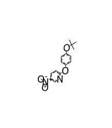 CC(C)(C)Oc1ccc(Oc2ccc([N+](=O)[O-])cn2)cc1